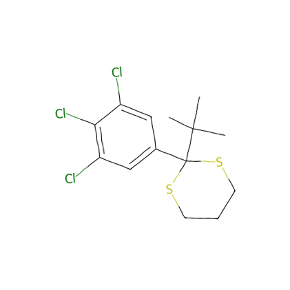 CC(C)(C)C1(c2cc(Cl)c(Cl)c(Cl)c2)SCCCS1